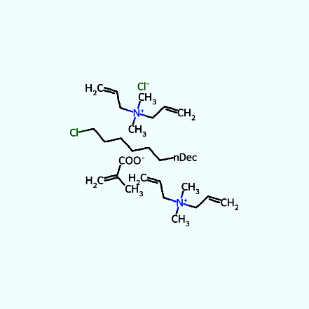 C=C(C)C(=O)[O-].C=CC[N+](C)(C)CC=C.C=CC[N+](C)(C)CC=C.CCCCCCCCCCCCCCCCCl.[Cl-]